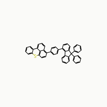 c1ccc(C2(c3ccccc3)c3ccccc3-c3c(-c4ccc(-c5ccc6c7c(cccc57)-c5ccccc5S6)cc4)cccc32)cc1